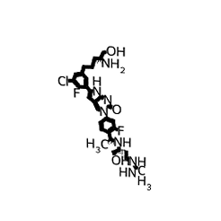 CC(=N)NCC[C@H](CO)N[C@@H](C)c1ccc(-n2cc3cc(-c4cc(CCC[C@@H](N)CO)cc(Cl)c4F)[nH]c3nc2=O)cc1F